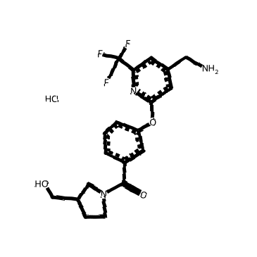 Cl.NCc1cc(Oc2cccc(C(=O)N3CCC(CO)C3)c2)nc(C(F)(F)F)c1